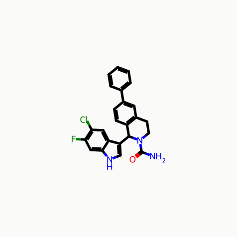 NC(=O)N1CCc2cc(-c3ccccc3)ccc2C1c1c[nH]c2cc(F)c(Cl)cc12